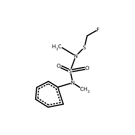 CN(SCF)S(=O)(=O)N(C)c1ccccc1